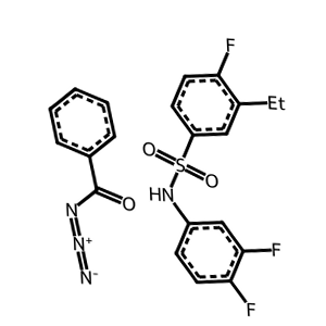 CCc1cc(S(=O)(=O)Nc2ccc(F)c(F)c2)ccc1F.[N-]=[N+]=NC(=O)c1ccccc1